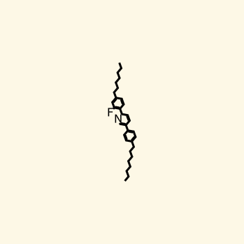 CCCCCCCCc1ccc(-c2ccc(-c3ccc(CCCCCCC)cc3F)nc2)cc1